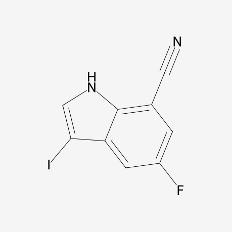 N#Cc1cc(F)cc2c(I)c[nH]c12